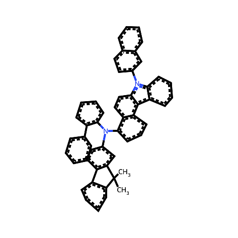 CC1(C)c2ccccc2-c2ccc(N(c3ccccc3-c3ccccc3)c3cccc4c3ccc3c4c4ccccc4n3-c3ccc4ccccc4c3)cc21